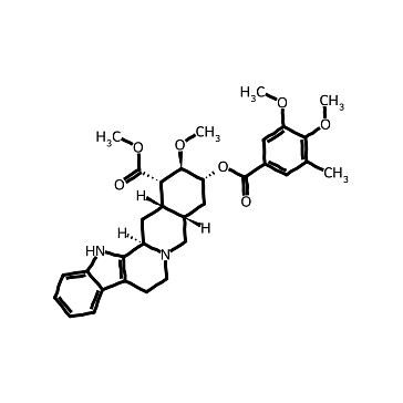 COC(=O)[C@H]1[C@H]2C[C@@H]3c4[nH]c5ccccc5c4CCN3C[C@H]2C[C@@H](OC(=O)c2cc(C)c(OC)c(OC)c2)[C@@H]1OC